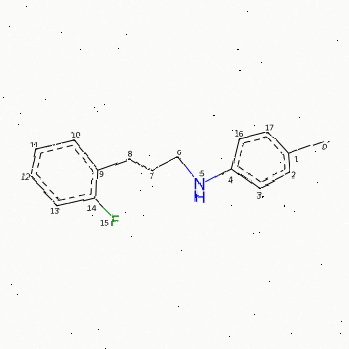 [CH2]c1ccc(NCCCc2ccccc2F)cc1